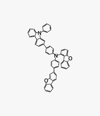 c1ccc(-n2c3ccccc3c3ccc(-c4ccc(N(c5ccc(-c6ccc7c(c6)oc6ccccc67)cc5)c5cccc6oc7ccccc7c56)cc4)cc32)cc1